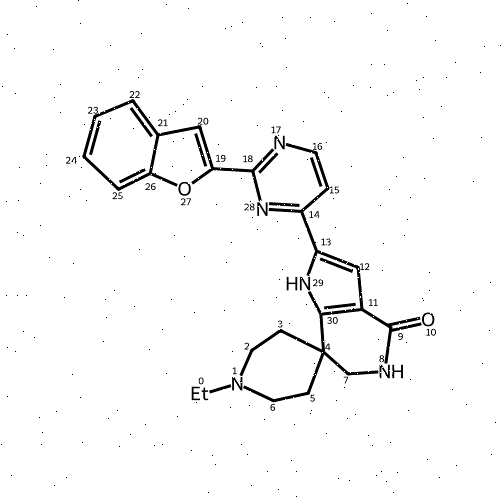 CCN1CCC2(CC1)CNC(=O)c1cc(-c3ccnc(-c4cc5ccccc5o4)n3)[nH]c12